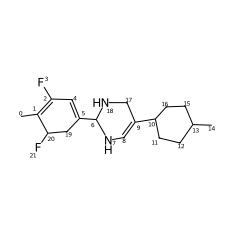 CC1=C(F)C=C(C2NC=C(C3CCC(C)CC3)CN2)CC1F